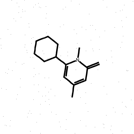 C=C1C=C(C)C=C(C2CCCCC2)N1C